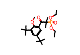 CCOP(=O)(OCC)C(C)(C)C(=O)c1cc(C(C)(C)C)cc(C(C)(C)C)c1OC